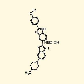 CCOc1ccc(-c2nc3cc(-c4nc5cc(N6CCN(C)CC6)ccc5[nH]4)ccc3[nH]2)cc1.Cl.Cl.Cl